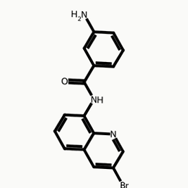 Nc1cccc(C(=O)Nc2cccc3cc(Br)cnc23)c1